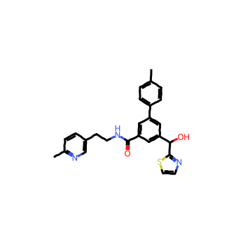 Cc1ccc(-c2cc(C(=O)NCCc3ccc(C)nc3)cc(C(O)c3nccs3)c2)cc1